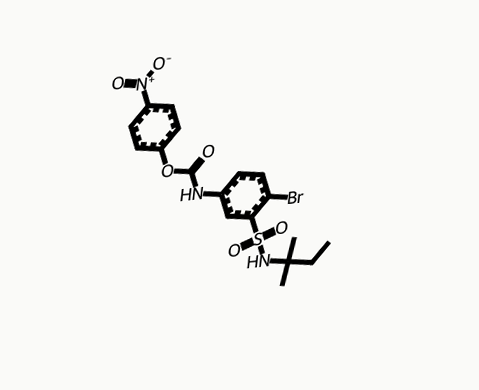 CCC(C)(C)NS(=O)(=O)c1cc(NC(=O)Oc2ccc([N+](=O)[O-])cc2)ccc1Br